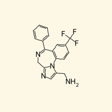 NCc1cnc2n1-c1ccc(C(F)(F)F)cc1C(c1ccccc1)=NC2